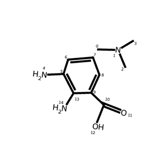 CN(C)C.Nc1cccc(C(=O)O)c1N